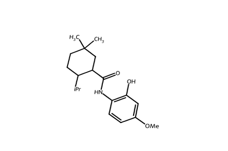 COc1ccc(NC(=O)C2CC(C)(C)CCC2C(C)C)c(O)c1